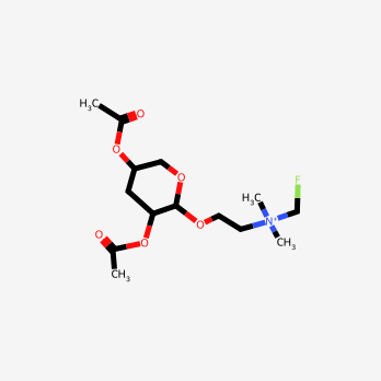 CC(=O)OC1COC(OCC[N+](C)(C)CF)C(OC(C)=O)C1